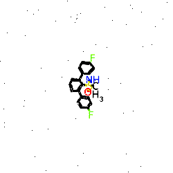 CS(=N)(=O)c1c(-c2ccc(F)cc2)cccc1-c1ccc(F)cc1